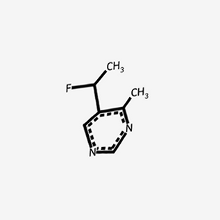 Cc1ncncc1C(C)F